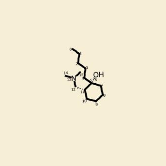 CCCCC[C@@]1(O)CCCC[C@@H]1CN(C)C